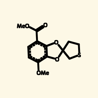 COC(=O)c1ccc(OC)c2c1OC1(CCSC1)O2